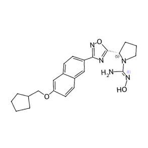 N/C(=N\O)N1CCC[C@H]1c1nc(-c2ccc3cc(OCC4CCCC4)ccc3c2)no1